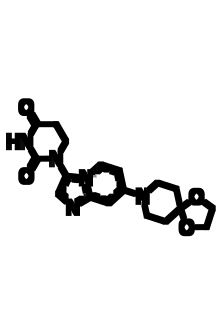 O=C1CCN(c2cnc3cc(N4CCC5(CC4)OCCO5)ccn23)C(=O)N1